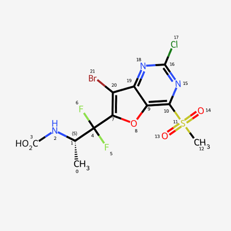 C[C@H](NC(=O)O)C(F)(F)c1oc2c(S(C)(=O)=O)nc(Cl)nc2c1Br